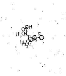 CN(CCOc1ccc(-c2ccccc2F)cc1CC(C)(C)C)CC(=O)O